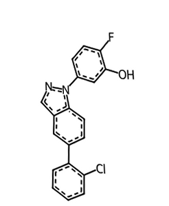 Oc1cc(-n2ncc3cc(-c4ccccc4Cl)ccc32)ccc1F